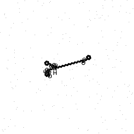 O=C(CCCCCCCCCCCCCCCCC(=O)OCc1ccccc1)N[C@@H](CCC(=O)ON1C(=O)CCC1=O)C(=O)OCc1ccccc1